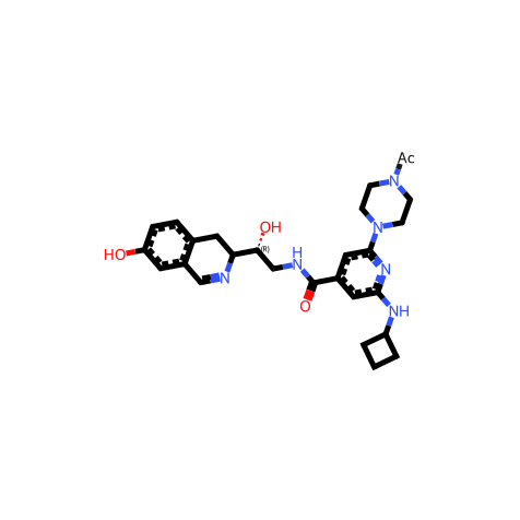 CC(=O)N1CCN(c2cc(C(=O)NC[C@@H](O)C3Cc4ccc(O)cc4C=N3)cc(NC3CCC3)n2)CC1